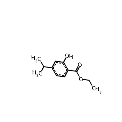 CCOC(=O)c1ccc(C(C)C)cc1O